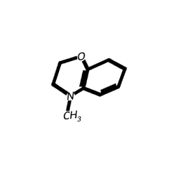 CN1CCOC2=C1C=CCC2